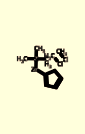 CCl.CCl.C[Si](C)(C)[Zr][C]1=CC=CC1